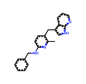 Cc1nc(NCc2ccccc2)ccc1Cc1c[nH]c2ncccc12